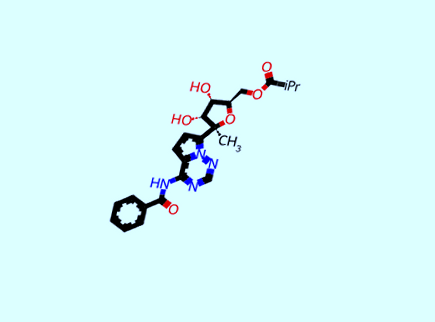 CC(C)C(=O)OC[C@H]1O[C@@](C)(c2ccc3c(NC(=O)c4ccccc4)ncnn23)[C@H](O)[C@@H]1O